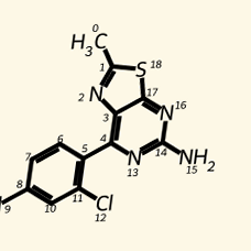 Cc1nc2c(-c3ccc(Cl)cc3Cl)nc(N)nc2s1